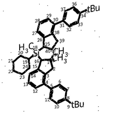 C[C@H]1Cc2c(-c3ccc(C(C)(C)C)cc3)cccc2C1[Si](C)(C1CCCCC1)C1c2cccc(-c3ccc(C(C)(C)C)cc3)c2C[C@@H]1C